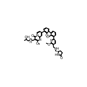 COc1nc(-c2cccc(-c3cccc(-c4ccn5c(=O)c(CNCC(C)O)c(OC)nc5c4)c3Cl)c2Cl)ccc1CNC[C@H]1CCC(=O)N1